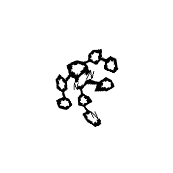 c1ccc(-c2cccc(-c3ccc(-c4cccc(-c5ccccc5)c4)c4nc(-c5ccc(-c6ccccn6)cc5)c(-c5ccccc5)nc34)c2)cc1